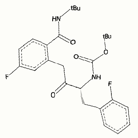 CC(C)(C)NC(=O)c1ccc(F)cc1CC(=O)[C@@H](Cc1ccccc1F)NC(=O)OC(C)(C)C